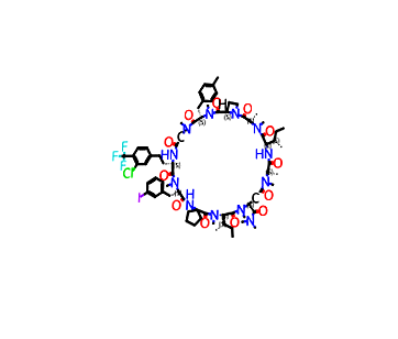 CC[C@H](C)[C@@H]1NC(=O)[C@H](C)N(C)C(=O)C[C@@H](C(=O)N(C)C)N(C)C(=O)[C@H]([C@@H](C)CC)N(C)C(=O)C2(CCCC2)NC(=O)[C@H](Cc2cccc(I)c2)N(C)C(=O)[C@H](CCc2ccc(C(F)(F)F)c(Cl)c2)NC(=O)CN(C)C(=O)[C@H](Cc2ccc(C)cc2)N(C)C(=O)[C@@H]2CCN2C(=O)[C@H](C)N(C)C1=O